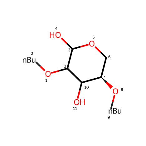 CCCCOC1C(O)OC[C@@H](OCCCC)C1O